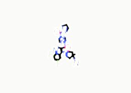 CC1(C#N)CCN(c2c(C(=O)N3CCN(C(=O)N4CCCC4)CC3)cnc3c(F)cc(F)cc23)CC1